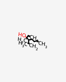 C=CC(C)(O)C(CCCC)C(=C)C